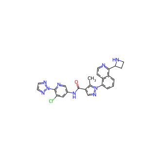 Cc1c(C(=O)Nc2cnc(-n3nccn3)c(Cl)c2)cnn1-c1cccc2c(C3CCN3)nccc12